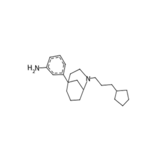 Nc1cccc(C23CCCC(C2)N(CCCC2CCCC2)CC3)c1